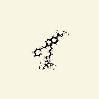 COC(=O)c1ccc2c(CCCCO[Si](C)(C)C(C)(C)C)c(COC3CCCCO3)ncc2c1